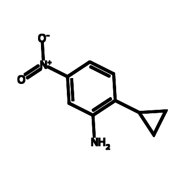 Nc1cc([N+](=O)[O-])ccc1C1CC1